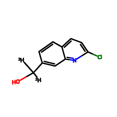 [2H]C([2H])(O)c1ccc2ccc(Cl)nc2c1